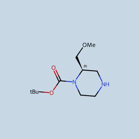 COC[C@H]1CNCCN1C(=O)OC(C)(C)C